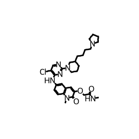 CNC(=O)COc1cc2cc(Nc3nc(N4CCCC(CCCCN5CCCC5)C4)ncc3Cl)ccc2n(C)c1=O